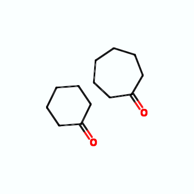 O=C1CCCCC1.O=C1CCCCCC1